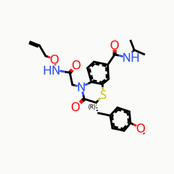 C=CCONC(=O)CN1C(=O)[C@@H](Cc2ccc(OC)cc2)Sc2cc(C(=O)NC(C)C)ccc21